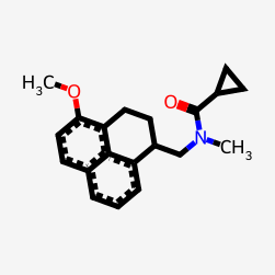 COc1ccc2cccc3c2c1CCC3CN(C)C(=O)C1CC1